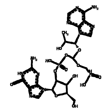 CC(O)[C@@H](OC(OC[PH](=O)O)OP(=O)(O)OC1C(O)[C@@H](CO)O[C@H]1n1cnc2c(=O)[nH]c(N)nc21)n1cnc2c(N)ncnc21